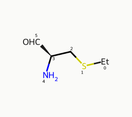 CCSC[C@@H](N)C=O